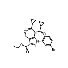 CCOC(=O)c1nn(-c2cccc(Br)c2)c(N(C(=O)C2CC2)C(=O)C2CC2)c1C=O